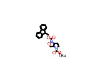 CC(C)(C)OC(=O)N1CCC2C1CON2C(=O)OCC1c2ccccc2-c2ccccc21